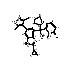 Cc1noc(C)c1-c1cc(C(O)(c2cccc(=O)n2C)C2CCCO2)c2nc(C3CC3)[nH]c2c1